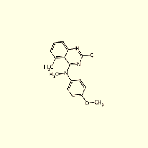 COc1ccc(N(C)c2nc(Cl)nc3cccc(C)c23)cc1